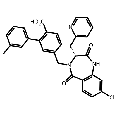 Cc1cccc(-c2cc(CN3C(=O)c4ccc(Cl)cc4NC(=O)[C@H]3Cc3ccccn3)ccc2C(=O)O)c1